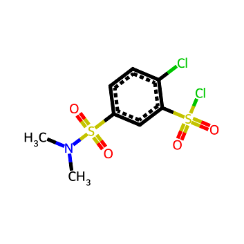 CN(C)S(=O)(=O)c1ccc(Cl)c(S(=O)(=O)Cl)c1